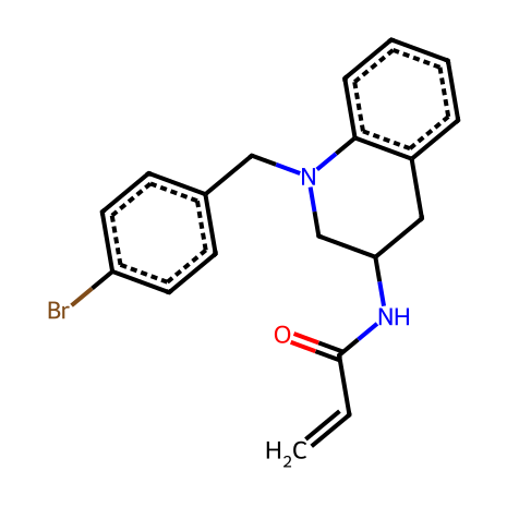 C=CC(=O)NC1Cc2ccccc2N(Cc2ccc(Br)cc2)C1